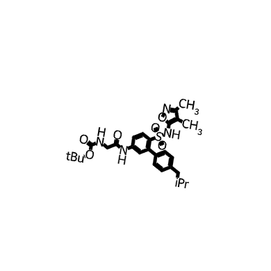 Cc1noc(NS(=O)(=O)c2ccc(NC(=O)CNC(=O)OC(C)(C)C)cc2-c2ccc(CC(C)C)cc2)c1C